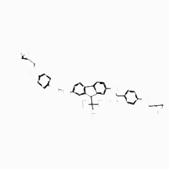 O=C(Oc1ccc2c(c1)C(C(F)(F)F)c1cc(OCOc3ccc(OCC4CO4)cc3)ccc1-2)c1ccc(OCC2CO2)cc1